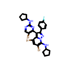 Fc1ccc(-c2nn3c(NC4CCCC4)c(Br)cc(Br)c3c2-c2nc(NC3CCCC3)ncc2Br)cc1